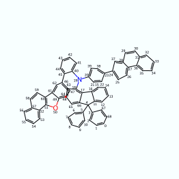 c1ccc(C2(c3ccccc3)c3ccccc3-c3c(N(c4ccc(-c5ccc6c(ccc7ccccc76)c5)cc4)c4ccccc4-c4ccc5oc6c7ccccc7ccc6c5c4)cccc32)cc1